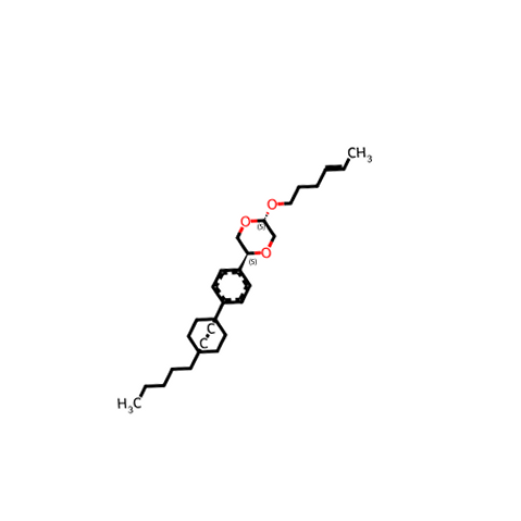 CC=CCCCO[C@@H]1CO[C@@H](c2ccc(C34CCC(CCCCC)(CC3)CC4)cc2)CO1